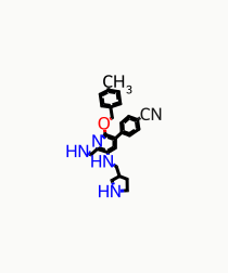 Cc1ccc(COc2nc(C=N)c(NCC3CCNC3)cc2-c2ccc(C#N)cc2)cc1